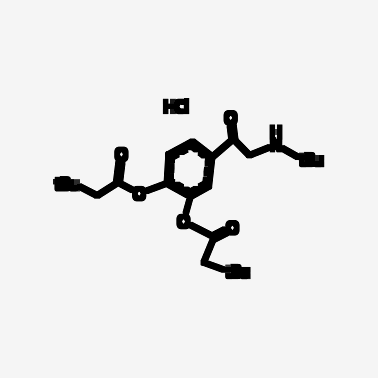 CC(C)(C)CC(=O)Oc1ccc(C(=O)CNC(C)(C)C)cc1OC(=O)CC(C)(C)C.Cl